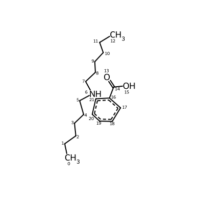 CCCCCCNCCCCCC.O=C(O)c1ccccc1